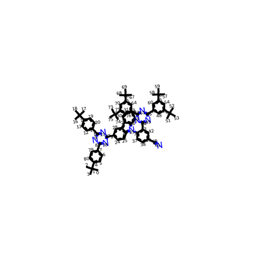 CC(C)(C)c1ccc(-c2nc(-c3ccc(C(C)(C)C)cc3)nc(-c3ccc4c(c3)c3ccccc3n4-c3ccc(C#N)cc3-c3nc(-c4cc(C(C)(C)C)cc(C(C)(C)C)c4)nc(-c4cc(C(C)(C)C)cc(C(C)(C)C)c4)n3)n2)cc1